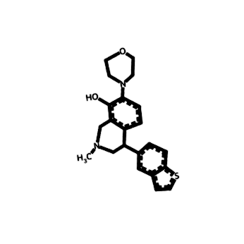 CN1Cc2c(ccc(N3CCOCC3)c2O)C(c2ccc3sccc3c2)C1